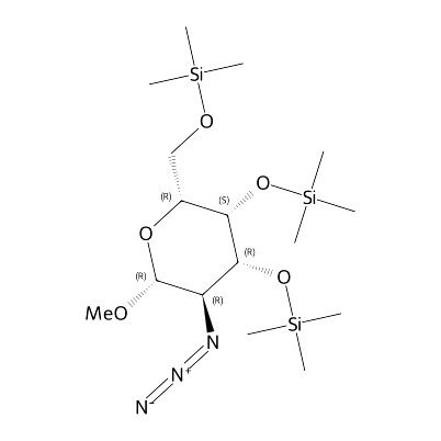 CO[C@@H]1O[C@H](CO[Si](C)(C)C)[C@H](O[Si](C)(C)C)[C@H](O[Si](C)(C)C)[C@H]1N=[N+]=[N-]